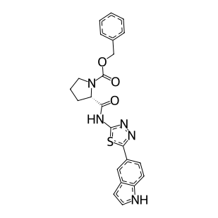 O=C(Nc1nnc(-c2ccc3[nH]ccc3c2)s1)[C@@H]1CCCN1C(=O)OCc1ccccc1